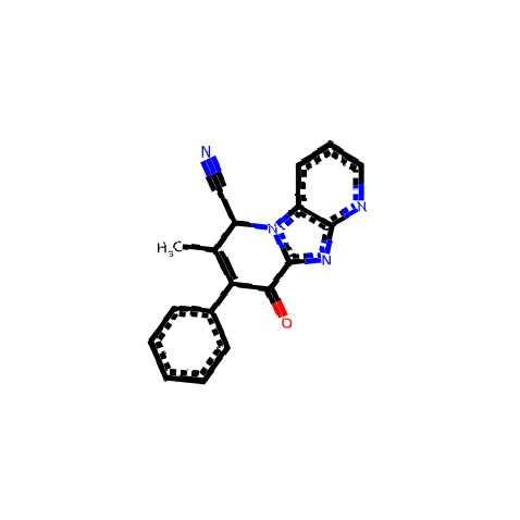 CC1=C(c2ccccc2)C(=O)c2nc3ncccc3n2C1C#N